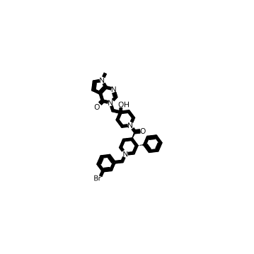 Cn1ccc2c(=O)n(CC3(O)CCN(C(=O)[C@@H]4CCN(Cc5cccc(Br)c5)C[C@H]4c4ccccc4)CC3)cnc21